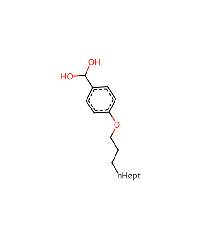 CCCCCCCCCCOc1ccc(C(O)O)cc1